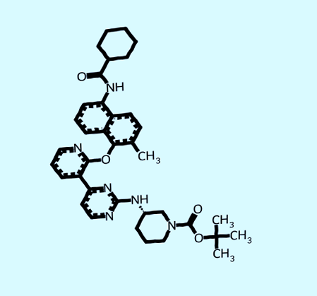 Cc1ccc2c(NC(=O)C3CCCCC3)cccc2c1Oc1ncccc1-c1ccnc(N[C@H]2CCCN(C(=O)OC(C)(C)C)C2)n1